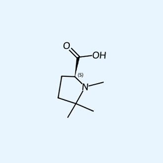 CN1[C@H](C(=O)O)CCC1(C)C